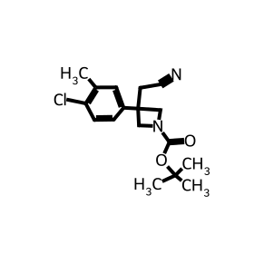 Cc1cc(C2(CC#N)CN(C(=O)OC(C)(C)C)C2)ccc1Cl